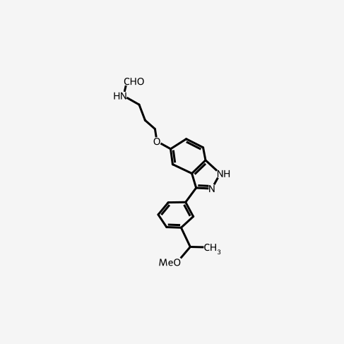 COC(C)c1cccc(-c2n[nH]c3ccc(OCCCNC=O)cc23)c1